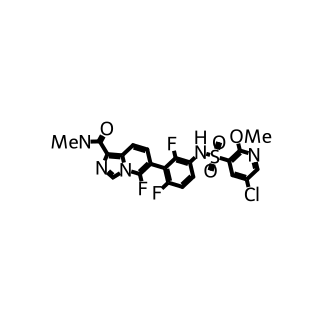 CNC(=O)c1ncn2c(F)c(-c3c(F)ccc(NS(=O)(=O)c4cc(Cl)cnc4OC)c3F)ccc12